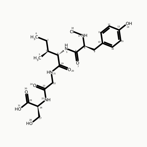 CC[C@H](C)[C@H](NC(=O)[C@H](Cc1ccc(O)cc1)NCl)C(=O)NCC(=O)N[C@@H](CO)C(=O)O